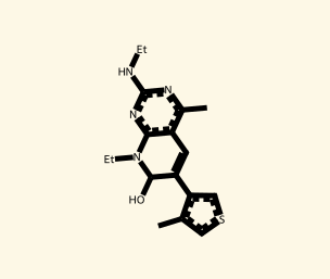 CCNc1nc(C)c2c(n1)N(CC)C(O)C(c1cscc1C)=C2